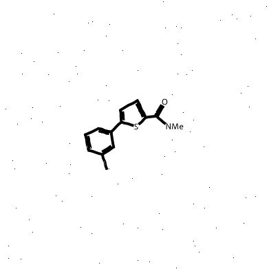 CNC(=O)c1ccc(-c2cccc(C)c2)s1